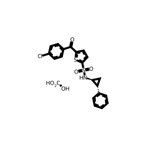 O=C(O)O.O=C(c1ccc(Cl)cc1)c1ccc(S(=O)(=O)N[C@H]2C[C@@H]2c2ccccc2)s1